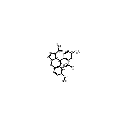 COc1ccc(Cn2nnc(C(=O)O)c2C(=O)c2ccc(C)cc2[N+](=O)[O-])cc1